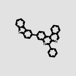 c1ccc(-c2nc3cc(-c4ccc5sc6ccccc6c5c4)ccc3c3c2ncc2ccccc23)cc1